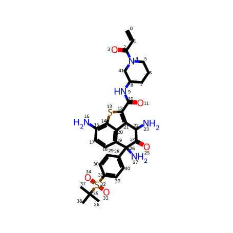 C=CC(=O)N1CCCC(NC(=O)c2sc3c(N)ccc4c3c2C(N)C(=O)C4(N)c2ccc(S(=O)(=O)C(C)(C)C)cc2)C1